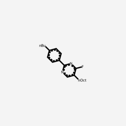 CCCCCCCCc1cnc(-c2ccc(CCCC)cc2)nc1F